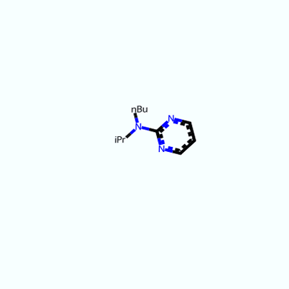 CCCCN(c1ncccn1)C(C)C